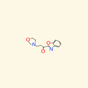 O=C(CCN1CCOCC1)c1nc2ccccc2o1